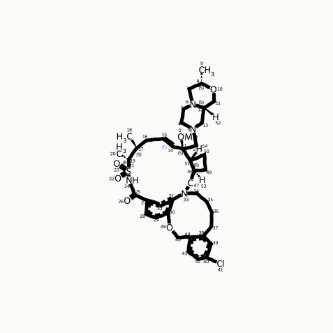 CO[C@]1(CN2CCN3C[C@H](C)OC[C@@H]3C2)/C=C/C[C@H](C)[C@@H](C)S(=O)(=O)NC(=O)c2ccc3c(c2)N(CCCCc2cc(Cl)ccc2CO3)C[C@@H]2CC[C@H]21